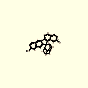 Brc1ccc2cc3c(cc2c1)C1(c2c-3ccc3ccc(Br)cc23)C2CC3CC(C2)CC1C3